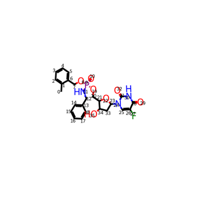 Cc1ccccc1COP(=O)(NCc1ccccc1)OCC1OC(n2cc(F)c(=O)[nH]c2=O)CC1O